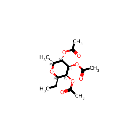 CC[C@H]1O[C@H](C)[C@H](OC(C)=O)[C@@H](OC(C)=O)[C@H]1OC(C)=O